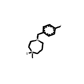 C[N+]1([O-])CCCN(Cc2ccc(I)cc2)CC1